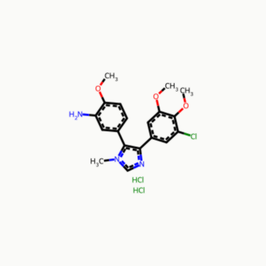 COc1ccc(-c2c(-c3cc(Cl)c(OC)c(OC)c3)ncn2C)cc1N.Cl.Cl